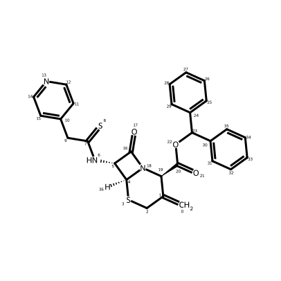 C=C1CS[C@H]2[C@H](NC(=S)Cc3ccncc3)C(=O)N2[C@H]1C(=O)OC(c1ccccc1)c1ccccc1